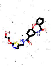 O=C(NCc1cnc(OCCO)s1)c1ccc2c(c1)NC(=O)c1ccccc1O2